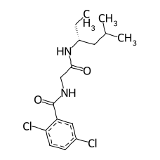 CC[C@H](CC(C)C)NC(=O)CNC(=O)c1cc(Cl)ccc1Cl